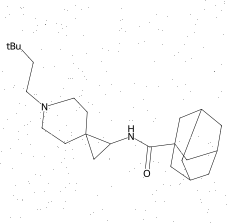 CC(C)(C)CCN1CCC2(CC1)CC2NC(=O)C12CC3CC(CC(C3)C1)C2